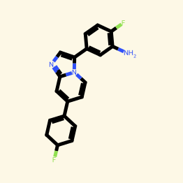 Nc1cc(-c2cnc3cc(C4=CCC(F)C=C4)ccn23)ccc1F